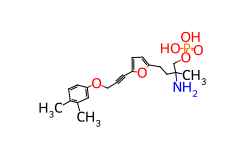 Cc1ccc(OCC#Cc2ccc(CCC(C)(N)COP(=O)(O)O)o2)cc1C